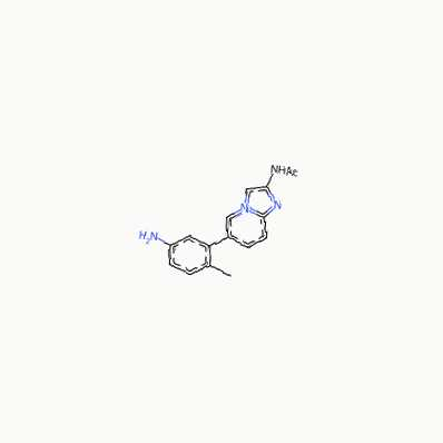 CC(=O)Nc1cn2cc(-c3cc(N)ccc3C)ccc2n1